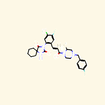 CC1CN(Cc2ccc(F)cc2)CCN1C(=O)C=Cc1cc(F)c(Cl)cc1N1C(=O)NC2(CCCCC2)C1=O